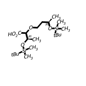 C[C@H](CCOC(C(=O)O)[C@@H](C)O[Si](C)(C)C(C)(C)C)O[Si](C)(C)C(C)(C)C